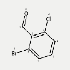 O=[C]c1c(Cl)cccc1Br